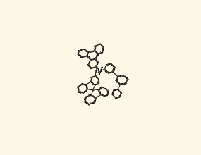 c1ccc(-c2cccc(-c3cccc(N(c4ccc5c(c4)-c4ccccc4C54c5ccccc5-c5ccccc54)c4ccc5c6ccccc6c6ccccc6c5c4)c3)c2)cc1